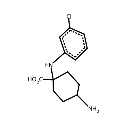 NC1CCC(Nc2cccc(Cl)c2)(C(=O)O)CC1